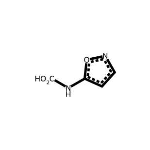 O=C(O)Nc1ccno1